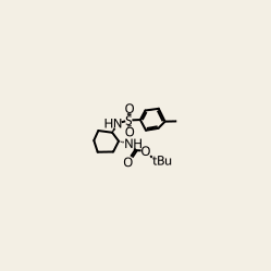 Cc1ccc(S(=O)(=O)N[C@@H]2CCCC[C@H]2NC(=O)OC(C)(C)C)cc1